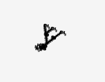 CCCCCCCCCOC(=O)CCCCCCCN(CCCCCCCC(=O)OC(CCCCCCCC)CCCCCCCC)CCCNC1(C)C(=O)C(=O)C1N(CC)CC